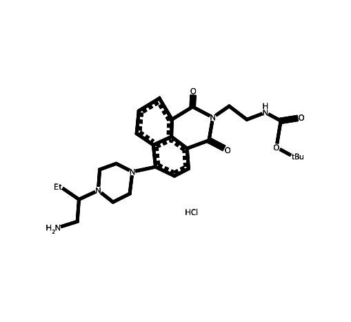 CCC(CN)N1CCN(c2ccc3c4c(cccc24)C(=O)N(CCNC(=O)OC(C)(C)C)C3=O)CC1.Cl